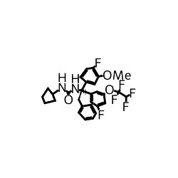 COc1cc([C@@](Cc2ccccc2)(NC(=O)NC2CCCC2)c2cc(F)cc(OC(F)(F)C(F)F)c2)ccc1F